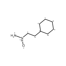 N[SiH](Cl)CCC1CCCCC1